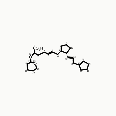 O=C(O)C(CCC=CC[C@H]1CCC[C@@H]1C=CCC1CCCC1)OC1CCCCO1